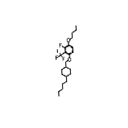 CCCCCC1CCC(COc2ccc(OCCCC)c(F)c2C(F)(F)F)CC1